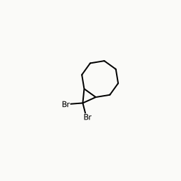 BrC1(Br)C2CCCCCCC21